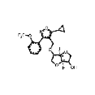 OC1CO[C@@H]2C(OCc3c(-c4ccccc4OC(F)(F)F)noc3C3CC3)CO[C@H]12